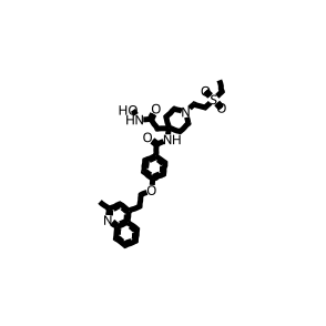 CCS(=O)(=O)CCN1CCC(CC(=O)NO)(NC(=O)c2ccc(OCCc3cc(C)nc4ccccc34)cc2)CC1